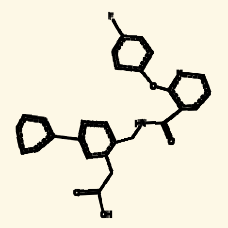 O=C(O)Cc1cc(-c2ccccc2)ccc1CNC(=O)c1cccnc1Oc1ccc(F)cc1